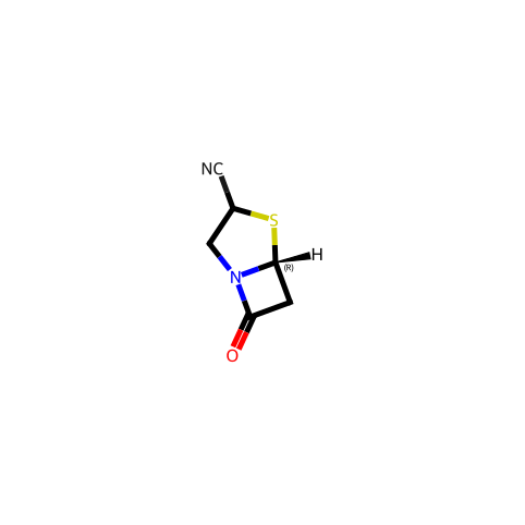 N#CC1CN2C(=O)C[C@H]2S1